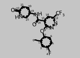 Cc1cc(F)ccc1Oc1nnc(C(F)(F)F)cc1C(=O)Nc1ccc(=O)[nH]c1